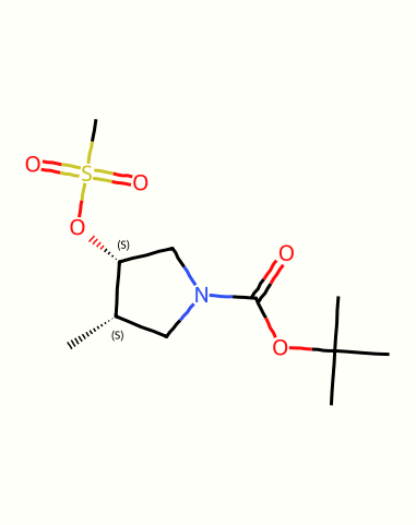 C[C@H]1CN(C(=O)OC(C)(C)C)C[C@H]1OS(C)(=O)=O